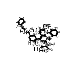 C=C(NCCc1ccccc1)c1ccc(C)c(-c2nc(NC(CO)CO)nc3c2ccc(=O)n3-c2c(F)cccc2F)c1